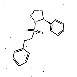 O=S(=O)(CCc1ccccc1)N1OCC[C@H]1c1ccccc1